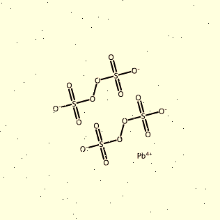 O=S(=O)([O-])OOS(=O)(=O)[O-].O=S(=O)([O-])OOS(=O)(=O)[O-].[Pb+4]